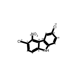 O=[N+]([O-])c1c(Cl)ccc2[nH]c3ccc(Cl)cc3c12